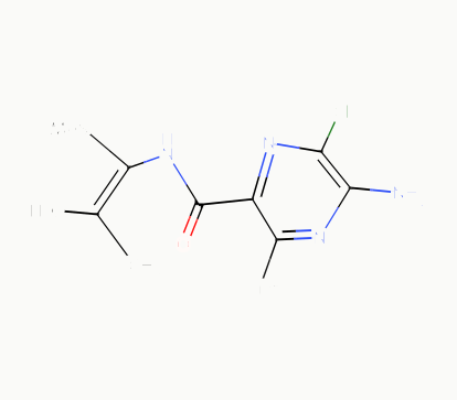 CSC(NC(=O)c1nc(Cl)c(N)nc1C(C)C)=C(C)C